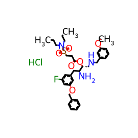 CCCN(CCC)S(=O)(=O)CCC(=O)O[C@H](CNCc1cccc(OC)c1)[C@@H](N)Cc1cc(F)cc(OCc2ccccc2)c1.Cl